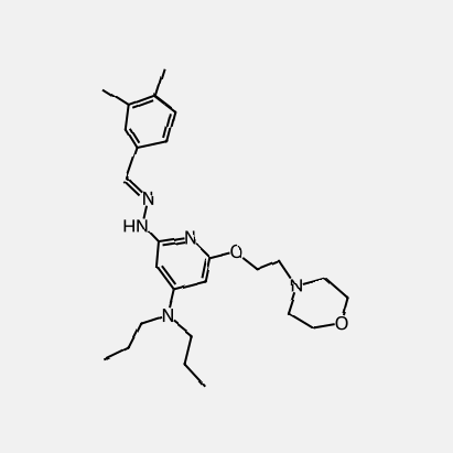 CCCN(CCC)c1cc(N/N=C/c2ccc(C)c(C)c2)nc(OCCN2CCOCC2)c1